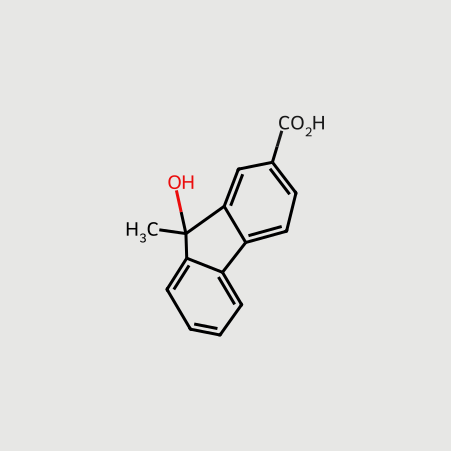 CC1(O)c2ccccc2-c2ccc(C(=O)O)cc21